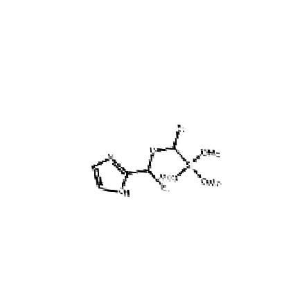 CCC(OC(CC)[Si](OC)(OC)OC)c1ncc[nH]1